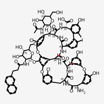 CC(=O)NC1C(O)[C@H](O)C(CO)O[C@H]1O[C@@H]1c2ccc(c(Cl)c2)Oc2cc3cc(c2O[C@@H]2OC(CO)[C@@H](O)C(O)C2NC(=O)CCc2ccc4ccccc4c2)Oc2ccc(cc2Cl)C[C@H]2NC(=O)[C@H](N)c4ccc(O)c(c4)Oc4cc(O)cc(c4)[C@H](NC2=O)C(=O)N[C@H]3C(=O)N[C@H]2C(=O)N[C@@H]1C(=O)N[C@H](C(=O)O)c1cc(O)cc(C)c1-c1cc2ccc1I